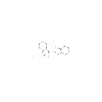 FC(F)(F)n1nc(-c2cc3ccccc3[nH]2)c2c(Cl)cccc21